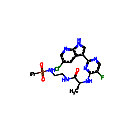 CC(C)S(=O)(=O)NCCNC(=O)[C@H](C)Nc1nc(-c2c[nH]c3ncc(Cl)cc23)ncc1F